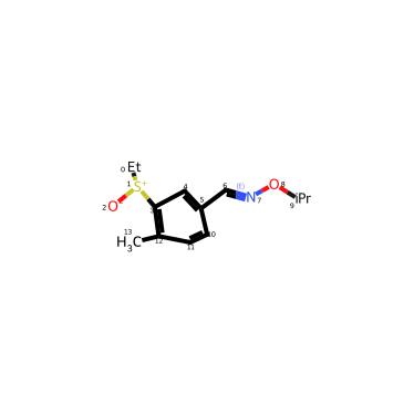 CC[S+]([O-])c1cc(/C=N/OC(C)C)ccc1C